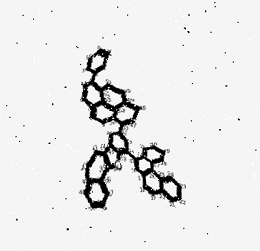 c1ccc(-c2ccc3ccc4c(-c5cc(-c6cc7ccc8ccccc8c7c7ccccc67)c6oc7c8ccccc8ccc7c6c5)ccc5ccc2c3c54)cc1